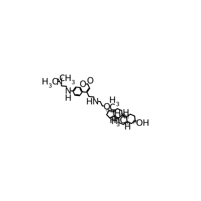 CN(C)CCNc1ccc2c(CCNCCO[C@H]3CC[C@H]4[C@@H]5CC[C@H]6C[C@H](O)CC[C@]6(C)[C@H]5CC[C@]34C)cc(=O)oc2c1